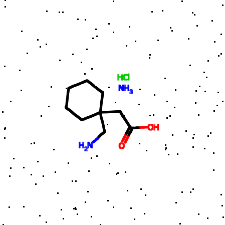 Cl.N.NCC1(CC(=O)O)CCCCC1